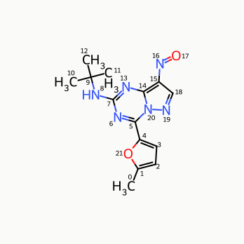 Cc1ccc(-c2nc(NC(C)(C)C)nc3c(N=O)cnn23)o1